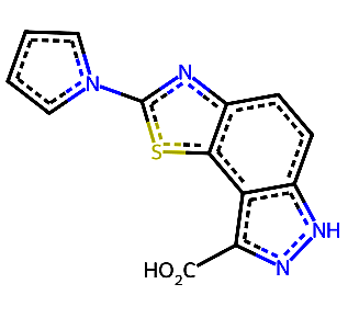 O=C(O)c1n[nH]c2ccc3nc(-n4cccc4)sc3c12